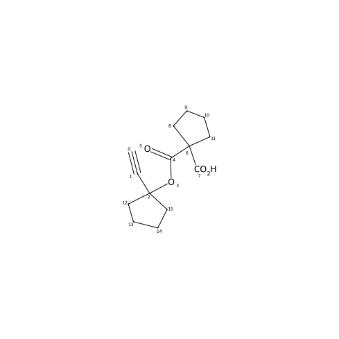 C#CC1(OC(=O)C2(C(=O)O)CCCC2)CCCC1